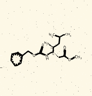 COC(=O)C[C@H](NC(=O)OCc1ccccc1)[C@@H](N)CC(C)C